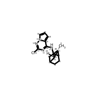 C[C@@]12C3CCC(CC31)[C@@H]2Nc1nc(Cl)nn2cccc12